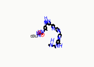 C=CNCCC(=C)Nc1ccc(N2CCC(CN3CCC(c4ccc(-c5cnc6[nH]nc(-c7ccc(CNC(=O)c8nc(C(C)(C)C)no8)c(C)c7)c6c5)cn4)CC3)CC2)cc1C